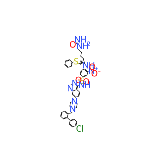 NC(=O)NCCCC[C@H](CSc1ccccc1)Nc1ccc(S(=O)(=O)Nc2ncnc3cc(N4CCN(Cc5ccccc5-c5ccc(Cl)cc5)CC4)ccc23)cc1[N+](=O)[O-]